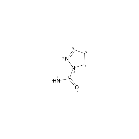 [NH]C(=O)N1CCC=N1